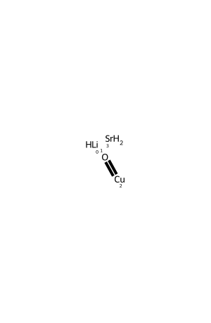 [LiH].[O]=[Cu].[SrH2]